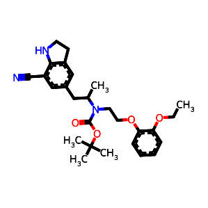 CCOc1ccccc1OCCN(C(=O)OC(C)(C)C)C(C)Cc1cc(C#N)c2c(c1)CCN2